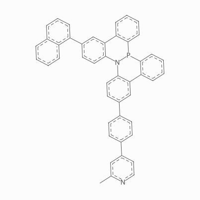 Cc1cc(-c2ccc(-c3ccc4c(c3)-c3ccccc3P3c5ccccc5-c5cc(-c6cccc7ccccc67)ccc5N43)cc2)ccn1